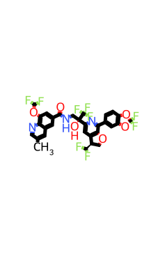 Cc1cnc2c(OC(F)F)cc(C(=O)NC[C@](O)(c3cc4c(c(-c5ccc6c(c5)OC(F)(F)O6)n3)OC[C@H]4C(F)F)C(F)(F)F)cc2c1